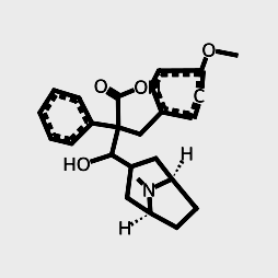 COc1ccc(CC(C(=O)O)(c2ccccc2)C(O)C2C[C@H]3CC[C@@H](C2)N3C)cc1